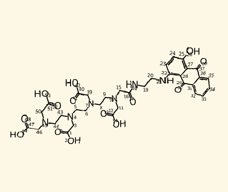 O=C(O)CN(CCN(CCN(CC(=O)O)CC(=O)NCCNc1ccc(O)c2c1C(=O)c1ccccc1C2=O)CC(=O)O)CCN(CC(=O)O)CC(=O)O